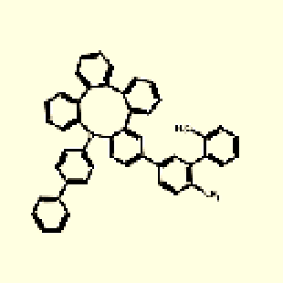 Cc1ccccc1-c1cc(-c2ccc3c(c2)c2ccccc2c2ccccc2c2ccccc2n3-c2ccc(-c3ccccc3)cc2)ccc1C